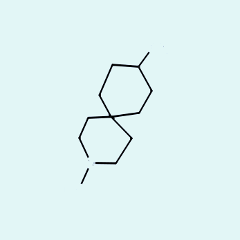 CN1CCC2(CCC(C(=O)O)CC2)CC1